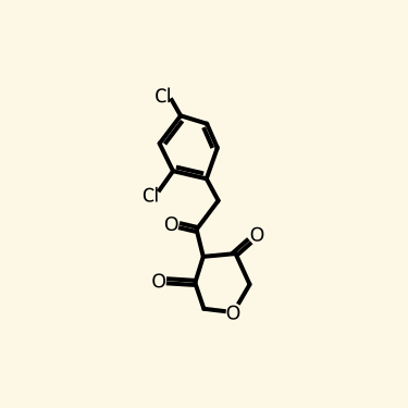 O=C1COCC(=O)C1C(=O)Cc1ccc(Cl)cc1Cl